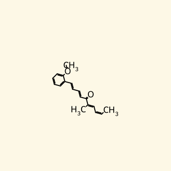 C/C=C\C=C(/C)C(=O)/C=C/C=C/c1ccccc1OC